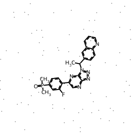 CC(c1ccc2ncccc2c1)n1nnc2ncc(-c3ccc(P(C)(C)=O)cc3F)nc21